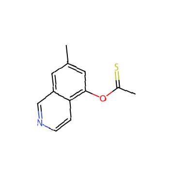 CC(=S)Oc1cc(C)cc2cnccc12